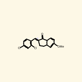 COC1=CC2CC/C(=C\c3ccc(Cl)cc3Cl)C(=O)C2C=C1